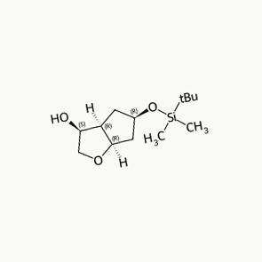 CC(C)(C)[Si](C)(C)O[C@@H]1C[C@@H]2[C@H](O)CO[C@@H]2C1